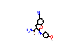 COc1ccc(/N=c2\oc3ccc(C#N)cc3cc2C(N)=S)cc1